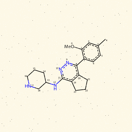 COc1cc(C)ccc1-c1nnc(NC2CCCNC2)c2c1CCC2